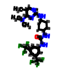 Cc1cnc(NC2CCC(NC(=O)Nc3cc(C(F)(F)F)cc(C(F)(F)F)c3)CC2)nc1N(C)C